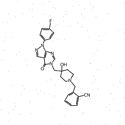 N#Cc1ccccc1CN1CCC(O)(Cn2cnc3c(cnn3-c3ccc(F)cc3)c2=O)CC1